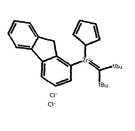 CC(C)(C)[C](=[Zr+2]([c]1cccc2c1Cc1ccccc1-2)[CH]1C=CC=C1)C(C)(C)C.[Cl-].[Cl-]